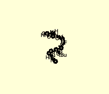 Cc1c(OCC(F)(F)CN2C[C@@H](C)N(CC(=O)Nc3cccc4c(C5CCC(=O)NC5=O)nn(C)c34)[C@@H](C)C2)cccc1-c1ccc(N2CCc3cccc(C(=O)Nc4nc5ccccc5s4)c3C2)nc1C(=O)OC(C)(C)C